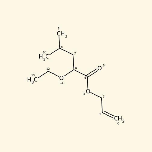 C=CCOC(=O)C(CC(C)C)OCC